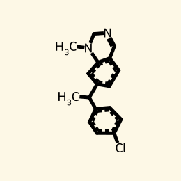 CC(c1ccc(Cl)cc1)c1ccc2c(c1)N(C)CN=C2